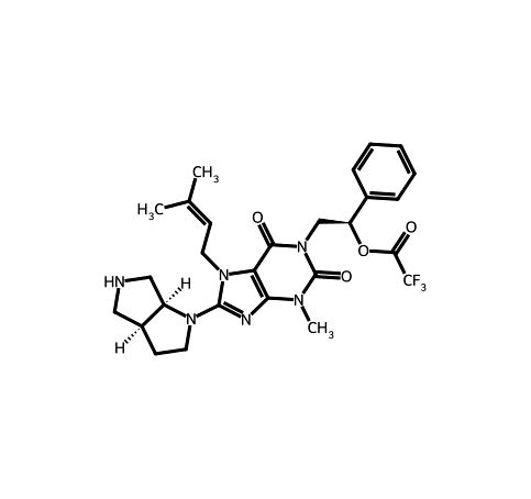 CC(C)=CCn1c(N2CC[C@H]3CNC[C@H]32)nc2c1c(=O)n(C[C@H](OC(=O)C(F)(F)F)c1ccccc1)c(=O)n2C